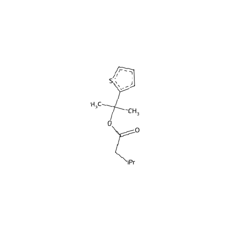 CC(C)CC(=O)OC(C)(C)c1cccs1